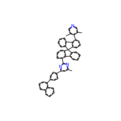 Cc1cc(-c2ccc(-c3cccc4ccccc34)cc2)nc(-c2cccc3c2-c2ccccc2C32c3ccccc3-c3c(-c4c(C)cncc4C)cccc32)n1